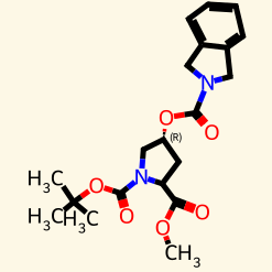 COC(=O)C1C[C@@H](OC(=O)N2Cc3ccccc3C2)CN1C(=O)OC(C)(C)C